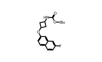 CC(C)(C)OC(=O)NC1CC(Oc2ccc3ccc(F)cc3c2)C1